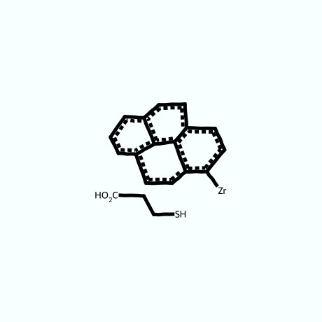 O=C(O)CCS.[Zr][c]1ccc2ccc3cccc4ccc1c2c34